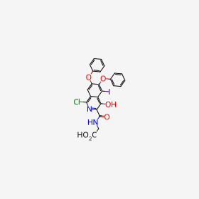 O=C(O)CNC(=O)c1nc(Cl)c2cc(Oc3ccccc3)c(Oc3ccccc3)c(I)c2c1O